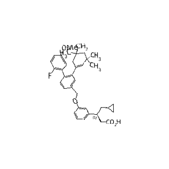 COc1ccc(F)c(-c2ccc(COc3cccc([C@H](CC(=O)O)CC4CC4)c3)cc2C2=CC(C)(C)CC(C)(C)C2)c1